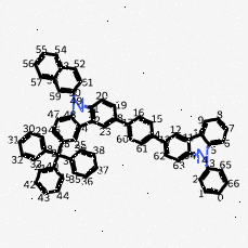 c1ccc(-n2c3ccccc3c3cc(-c4ccc(-c5ccc6c(c5)c5cc(C(c7ccccc7)(c7ccccc7)c7ccccc7)ccc5n6-c5ccc6ccccc6c5)cc4)ccc32)cc1